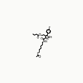 CCCC(=O)OCCc1c(C(=O)NCCCCCCSC(C)=O)n[nH]c1-c1ccc(F)cc1